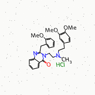 COc1ccccc1Cc1nc2ccccc2c(=O)n1CCN(C)CCc1ccc(OC)c(OC)c1.Cl